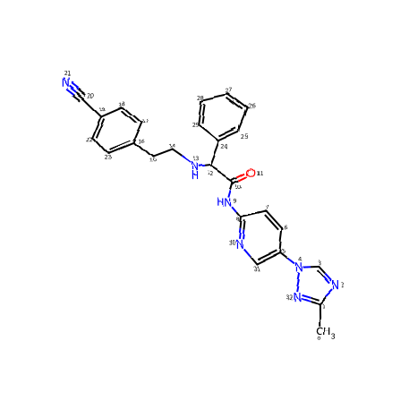 Cc1ncn(-c2ccc(NC(=O)C(NCCc3ccc(C#N)cc3)c3ccccc3)nc2)n1